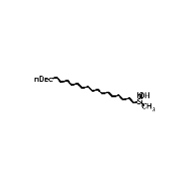 CCCCCCCCCCCCCCCCCCCCCCCCCC[SiH](C)O